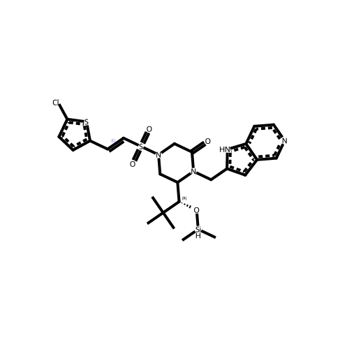 C[SiH](C)O[C@@H](C1CN(S(=O)(=O)/C=C/c2ccc(Cl)s2)CC(=O)N1Cc1cc2cnccc2[nH]1)C(C)(C)C